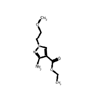 CCOC(=O)c1cn(CCOC)nc1N